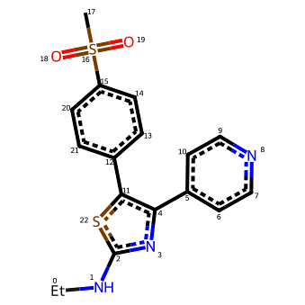 CCNc1nc(-c2ccncc2)c(-c2ccc(S(C)(=O)=O)cc2)s1